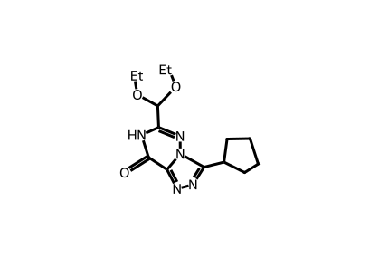 CCOC(OCC)c1nn2c(C3CCCC3)nnc2c(=O)[nH]1